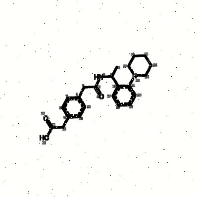 CC(NC(=O)Cc1ccc(CC(=O)O)cc1)c1ccccc1N1CCCCC1